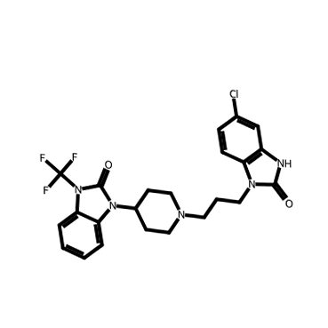 O=c1[nH]c2cc(Cl)ccc2n1CCCN1CCC(n2c(=O)n(C(F)(F)F)c3ccccc32)CC1